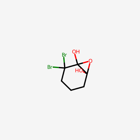 OC12CCCC(Br)(Br)C1(O)O2